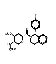 CO[C@H]1C[C@H](C(=O)N2CCc3ccccc3[C@@H]2c2ccc(F)cc2)OC[C@H]1NC(=O)O